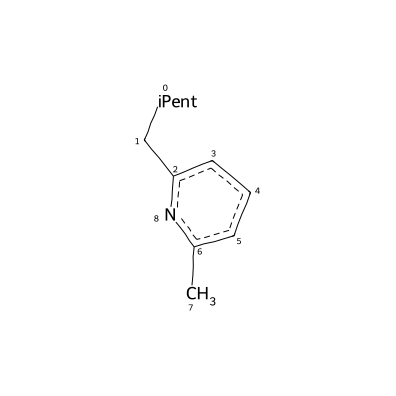 CCCC(C)Cc1cccc(C)n1